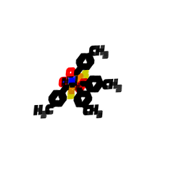 Cc1ccc(C(=O)P(=S)(NP(=S)(C(=O)c2ccc(C)cc2)C(=O)c2ccc(C)cc2)C(=O)c2ccc(C)cc2)cc1